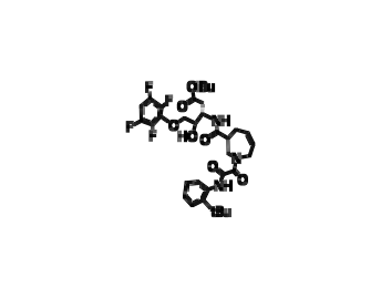 CC(C)COC(=O)C[C@H](NC(=O)C1CC=CCN(C(=O)C(=O)Nc2ccccc2C(C)(C)C)C1)C(O)COc1c(F)c(F)cc(F)c1F